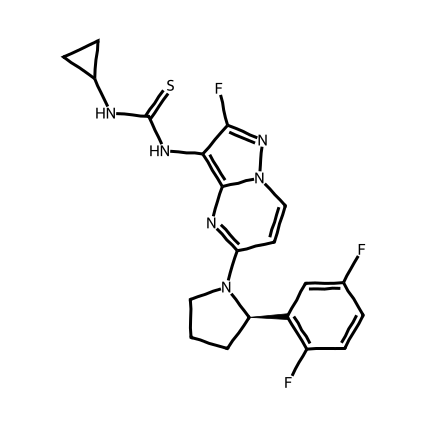 Fc1ccc(F)c([C@H]2CCCN2c2ccn3nc(F)c(NC(=S)NC4CC4)c3n2)c1